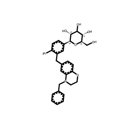 CC(C)c1ccc([C@@H]2O[C@H](CO)[C@@H](O)C(O)[C@H]2O)cc1Cc1ccc2c(c1)N(Cc1ccccc1)CCO2